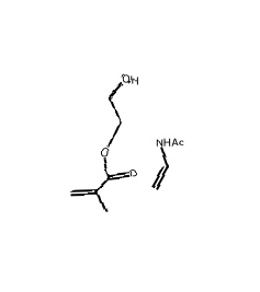 C=C(C)C(=O)OCCO.C=CNC(C)=O